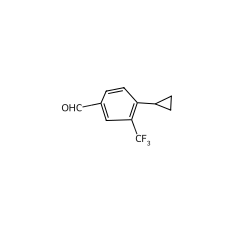 O=Cc1ccc(C2CC2)c(C(F)(F)F)c1